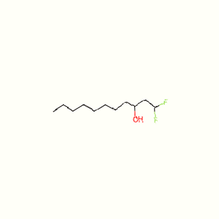 CCCCCCCCC(O)CC(F)F